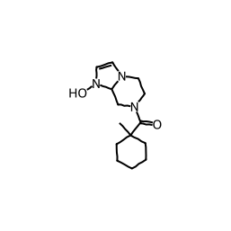 CC1(C(=O)N2CCN3C=CN(O)C3C2)CCCCC1